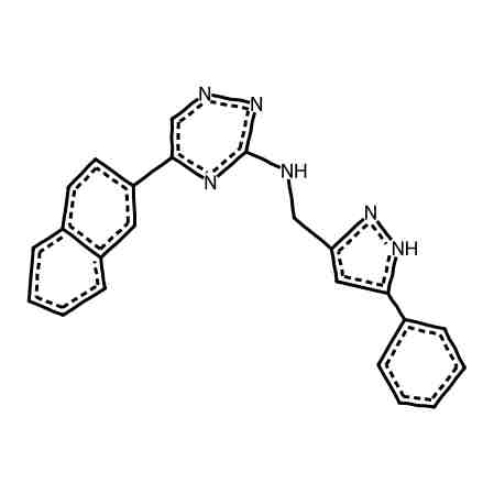 c1ccc(-c2cc(CNc3nncc(-c4ccc5ccccc5c4)n3)n[nH]2)cc1